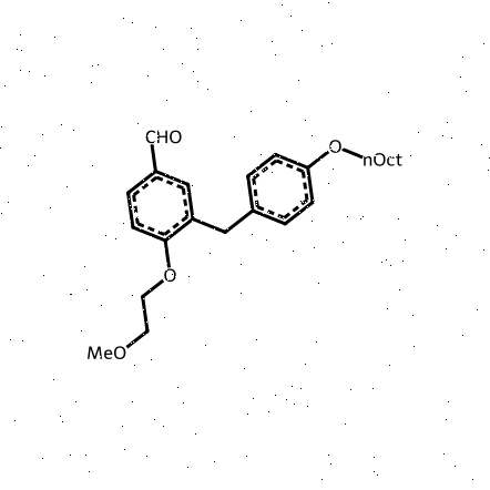 CCCCCCCCOc1ccc(Cc2cc(C=O)ccc2OCCOC)cc1